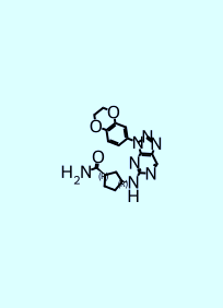 NC(=O)[C@@H]1CC[C@@H](Nc2ncc3nnn(-c4ccc5c(c4)OCCO5)c3n2)C1